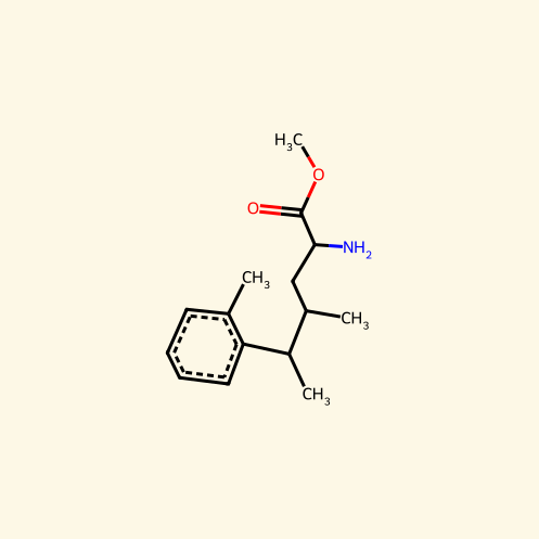 COC(=O)C(N)CC(C)C(C)c1ccccc1C